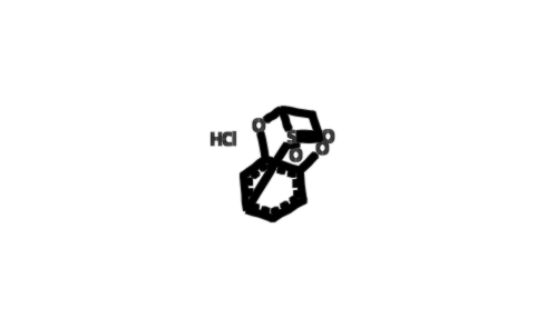 Cl.O=S1(=O)c2ccc3c(c2)OC1CO3